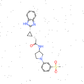 CS(=O)(=O)c1cccc(N2CC[C@@H](NC(=O)C[C@@H]3C[C@@H]3c3nc4ccccc4[nH]3)C2)c1